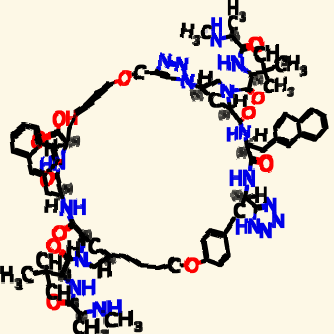 CN[C@@H](C)C(=O)N[C@H](C(=O)N1C[C@H]2CCCCOc3ccc(cc3)C[C@@H](c3nnn[nH]3)NC(=O)[C@H](Cc3ccc4ccccc4c3)NC(=O)[C@@H]3C[C@@H](CN3C(=O)[C@@H](NC(=O)[C@H](C)NC)C(C)(C)C)n3cc(nn3)COc3ccc(cc3)C[C@@H](C(=O)O)NC(=O)[C@H](Cc3ccc4ccccc4c3)NC(=O)[C@@H]1C2)C(C)(C)C